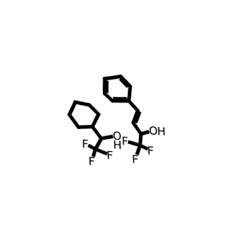 OC(/C=C/c1ccccc1)C(F)(F)F.OC(C1CCCCC1)C(F)(F)F